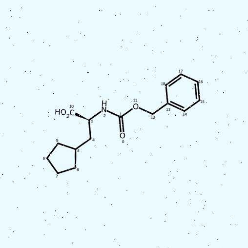 O=C(N[C@@H](CC1CCCC1)C(=O)O)OCc1ccccc1